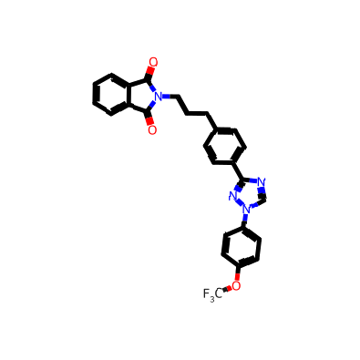 O=C1c2ccccc2C(=O)N1CCCc1ccc(-c2ncn(-c3ccc(OC(F)(F)F)cc3)n2)cc1